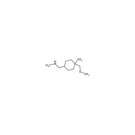 CNCC1CCC(C)(COC)CC1